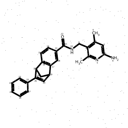 Cc1cc(N)nc(C)c1CNC(=O)c1ccc2c(c1)C1C=C(c3ccccc3)C2C1